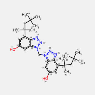 CC(C)(C)CC(C)(C)c1cc(O)cc2c1nnn2Cn1nnc2c(C(C)(C)CC(C)(C)C)cc(O)cc21